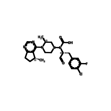 C[C@@H]1CCc2ncnc(N3CCN(N(C(=O)O)[C@@H](C=O)Cc4ccc(Cl)c(F)c4)C[C@@H]3C)c21